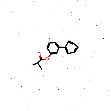 CC(C)C(=O)Oc1cccc(-c2ccccc2)c1